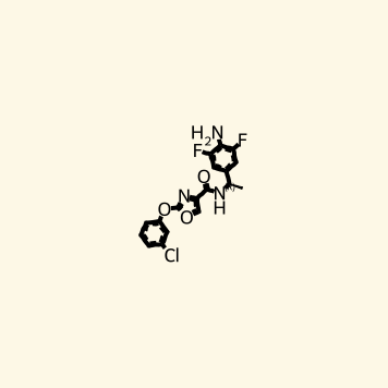 C[C@@H](NC(=O)c1coc(Oc2cccc(Cl)c2)n1)c1cc(F)c(N)c(F)c1